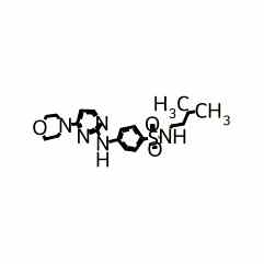 CC(C)CCNS(=O)(=O)c1ccc(Nc2nccc(N3CCOCC3)n2)cc1